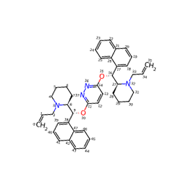 C=CCN1CCCC[C@H]1[C@H](Oc1ccc(O[C@H](c2cccc3ccccc23)[C@@H]2CCCCN2CC=C)nn1)c1cccc2ccccc12